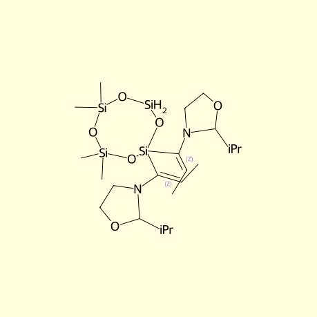 C/C=C(/N1CCOC1C(C)C)[Si]1(/C(=C\C)N2CCOC2C(C)C)O[SiH2]O[Si](C)(C)O[Si](C)(C)O1